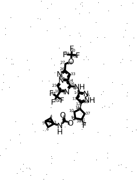 O=C(NC12CC(C1)C2)O[C@H]1C[C@@H](c2cc(Nc3nc(C(F)(F)F)cn4nc(COC(F)(F)F)cc34)n[nH]2)C[C@H]1F